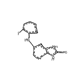 O=c1[nH]c2cc(Nc3ccccc3F)cnc2[nH]1